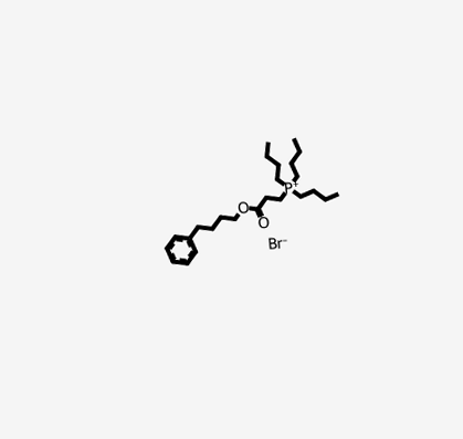 CCCC[P+](CCCC)(CCCC)CCC(=O)OCCCCc1ccccc1.[Br-]